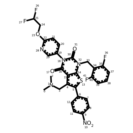 CN(C)Cc1c(-c2ccc([N+](=O)[O-])cc2)sc2c1c(=O)n(-c1ccc(OCC(F)F)nc1)c(=O)n2Cc1c(F)cccc1F